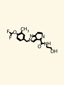 Cc1cc(Cn2cc3c(C(=O)NCCO)nccc3n2)ccc1OC(F)F